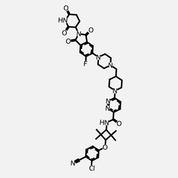 CC1(C)C(NC(=O)c2ccc(N3CCC(CN4CCN(c5cc6c(cc5F)C(=O)N(C5CCC(=O)NC5=O)C6=O)CC4)CC3)nn2)C(C)(C)C1Oc1ccc(C#N)c(Cl)c1